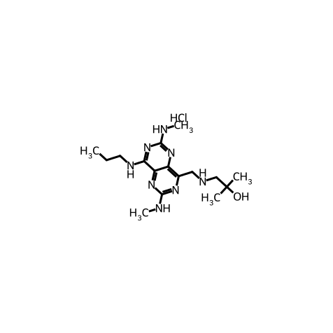 CCCNc1nc(NC)nc2c(CNCC(C)(C)O)nc(NC)nc12.Cl